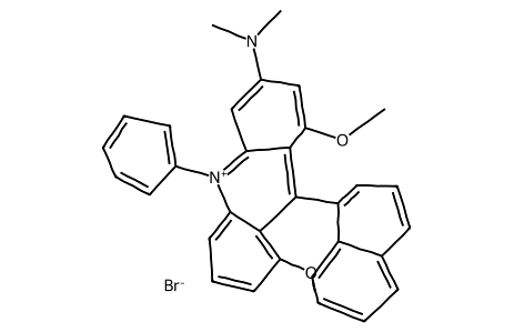 COc1cccc2c1c(-c1cccc3ccccc13)c1c(OC)cc(N(C)C)cc1[n+]2-c1ccccc1.[Br-]